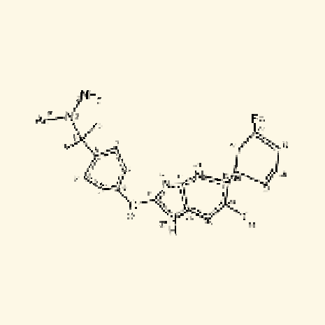 CC(=O)N(N)C(C)(C)c1ccc(Oc2nc3nc(C4C=CC=C(F)C4)c(Cl)cc3[nH]2)cc1